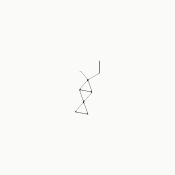 CCC1(I)C2C1C21CC1